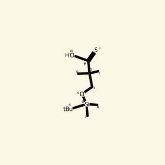 CC(C)(CO[Si](C)(C)C(C)(C)C)C(O)=S